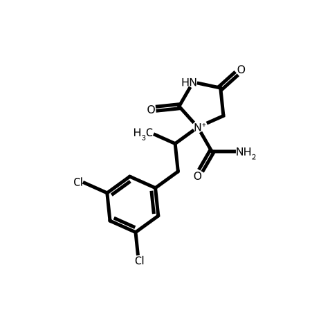 CC(Cc1cc(Cl)cc(Cl)c1)[N+]1(C(N)=O)CC(=O)NC1=O